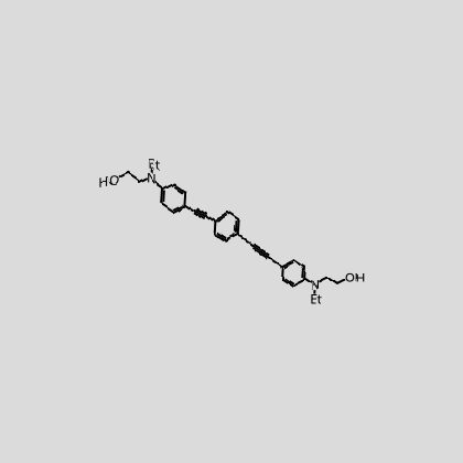 CCN(CCO)c1ccc(C#Cc2ccc(C#Cc3ccc(N(CC)CCO)cc3)cc2)cc1